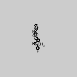 CC(c1ccc(F)cc1)n1cncc1-c1cccc2c1CCN(S(=O)(=O)c1cnc(N3CCN4CCCC4C3)s1)C2